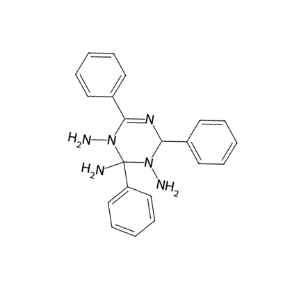 NN1C(c2ccccc2)=NC(c2ccccc2)N(N)C1(N)c1ccccc1